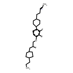 C/C=C/CCC1CCC(c2ccc(OCC(F)CC3CCC(CCC)CC3)c(F)c2F)CC1